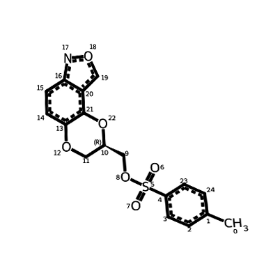 Cc1ccc(S(=O)(=O)OC[C@H]2COc3ccc4nocc4c3O2)cc1